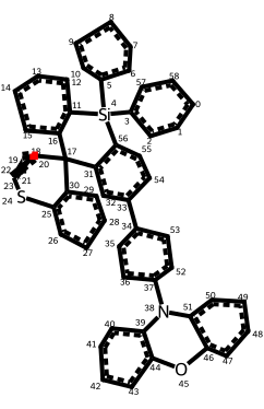 c1ccc([Si]2(c3ccccc3)c3ccccc3C3(c4ccccc4Sc4ccccc43)c3cc(-c4ccc(N5c6ccccc6Oc6ccccc65)cc4)ccc32)cc1